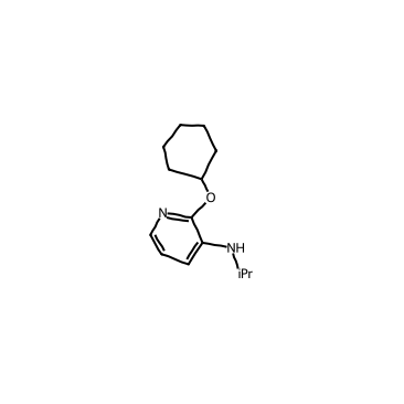 CC(C)Nc1cccnc1OC1CCCCC1